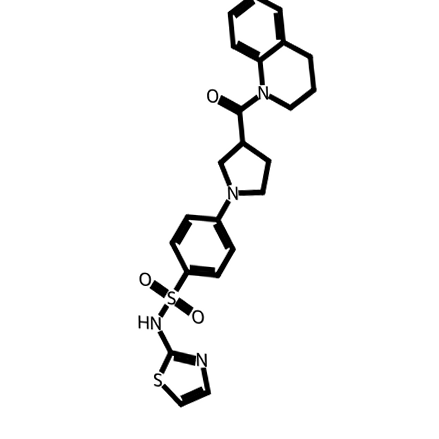 O=C(C1CCN(c2ccc(S(=O)(=O)Nc3nccs3)cc2)C1)N1CCCc2ccccc21